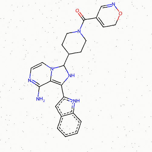 NC1=NC=CN2C1=C(c1cc3ccccc3[nH]1)NC2C1CCN(C(=O)C2=CCON=C2)CC1